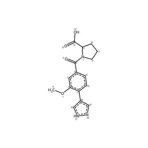 COc1cc(C(=O)N2CCCC2C(=O)O)ccc1-c1cn[nH]c1